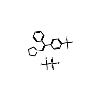 FC(F)(F)c1ccc(C(=C[S+]2CCCC2)c2ccccc2)cc1.O=S(=O)([O-])C(F)(F)F